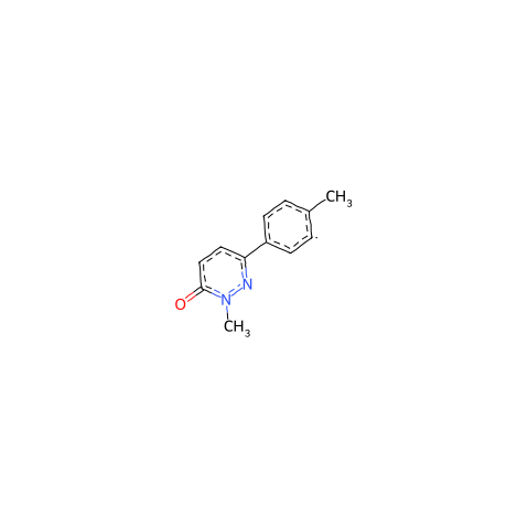 Cc1[c]cc(-c2ccc(=O)n(C)n2)cc1